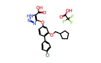 O=C(O)C(F)(F)F.O=C(O)c1[nH]nnc1Oc1ccc(-c2ccc(Cl)cc2)c(OCC2CCCC2)c1